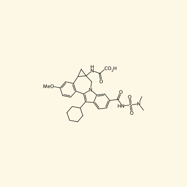 COc1ccc2c(c1)C1CC1(NC(=O)C(=O)O)Cn1c-2c(C2CCCCC2)c2ccc(C(=O)NS(=O)(=O)N(C)C)cc21